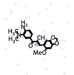 COc1cc2c(cc1/C=C(\C)C(=O)c1ccc(N)c(N(C)C)c1)OCO2